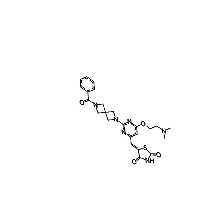 CN(C)CCOc1cc(/C=C2\SC(=O)NC2=O)nc(N2CC3(CN(C(=O)c4ccccc4)C3)C2)n1